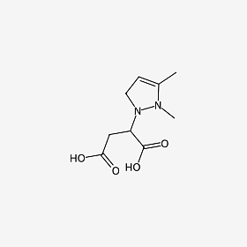 CC1=CCN(C(CC(=O)O)C(=O)O)N1C